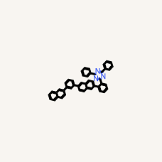 c1ccc(-c2nc(-c3ccccc3)nc(-c3ccccc3-c3ccc4cc(-c5cccc(-c6ccc7ccccc7c6)c5)ccc4c3)n2)cc1